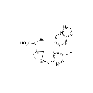 CC(C)(C)N(C(=O)O)[C@H]1CC[C@H](Nc2ncc(Cl)c(-c3ccn4nccc4n3)n2)C1